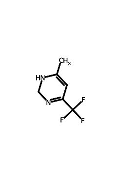 CC1=CC(C(F)(F)F)=NCN1